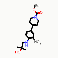 CC(C)(O)CNc1ccc(C2=CCN(C(=O)OC(C)(C)C)CC2)cc1[N+](=O)[O-]